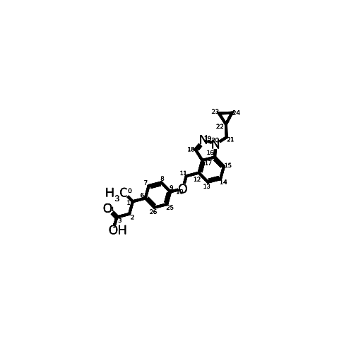 CC(CC(=O)O)c1ccc(OCc2cccc3c2cnn3CC2CC2)cc1